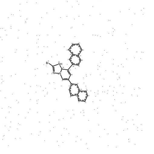 BrC1=NN2C=C(c3ccc4ccccc4c3)C=C(c3ccc4ccccc4c3)C2N1